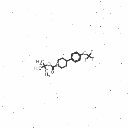 CC(C)(C)OC(=O)N1CCC(c2ccc(OC(F)(F)F)cc2)CC1